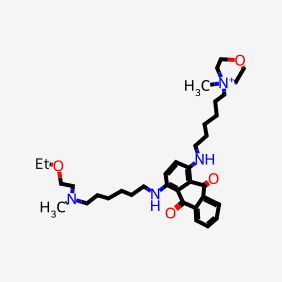 CCOCCN(C)CCCCCCNc1ccc(NCCCCCC[N+]2(C)CCOCC2)c2c1C(=O)c1ccccc1C2=O